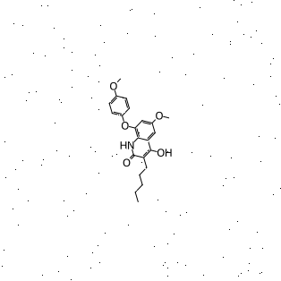 CCCCCc1c(O)c2cc(OC)cc(Oc3ccc(OC)cc3)c2[nH]c1=O